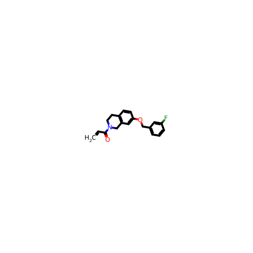 C=CC(=O)N1CCc2ccc(OCc3cccc(F)c3)cc2C1